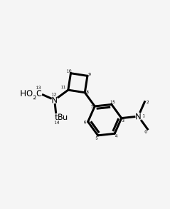 CN(C)c1cccc(C2CCC2N(C(=O)O)C(C)(C)C)c1